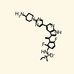 C=C(c1c(F)ccc(N[S+]([O-])N(C)CC)c1F)c1c[nH]c2ncc(-c3cnc(N4CCC(N)CC4)nc3)cc12